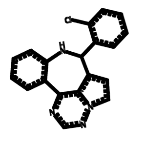 Clc1ccccc1C1Nc2ccccc2-c2ncnn3ccc1c23